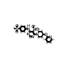 CS(=O)(=O)c1ccc(Nc2ncnc(N3CCC(Oc4ccccn4)CC3)c2[N+](=O)[O-])cc1